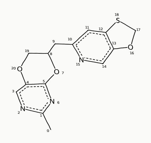 Cc1ncc2c(n1)OC(Cc1cc3c(cn1)OCS3)CO2